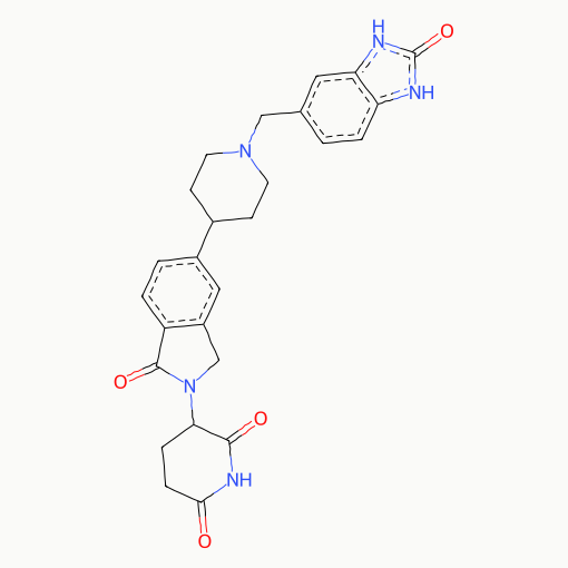 O=C1CCC(N2Cc3cc(C4CCN(Cc5ccc6[nH]c(=O)[nH]c6c5)CC4)ccc3C2=O)C(=O)N1